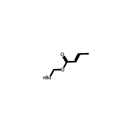 [CH2]CCCCOC(=O)C=CC